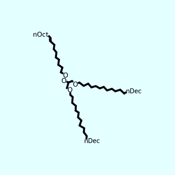 CCCCCCCCC=CCCCCCCCCOOC(COCCCCCCCCCCCCCCCCCCCCCC)COCCCCCCCCCCCCCCCCCCCCCC